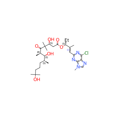 CC[C@H](OC(=O)C[C@H](O)C(C)(C)C(=O)[C@H](C)[C@@H](O)[C@@H](C)CCCC(C)(C)O)/C(C)=C/c1nc(Cl)c2ncn(C)c2n1